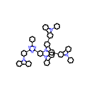 c1ccc(-c2nc(-c3cccc(-n4c5ccccc5c5ccccc54)c3)nc(-c3ccc(-n4c5ccccc5c5ccccc54)c(-n4c5ccc(-c6ccc7c(c6)c6ccccc6n7-c6ccccc6)cc5c5cc(-c6ccc7c(c6)c6ccccc6n7-c6ccccc6)ccc54)c3)n2)cc1